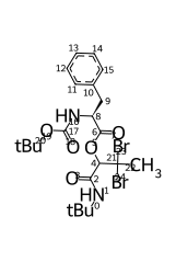 CC(C)(C)NC(=O)C(OC(=O)[C@H](Cc1ccccc1)NC(=O)OC(C)(C)C)C(C)(Br)Br